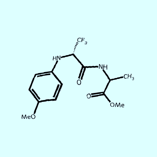 COC(=O)C(C)NC(=O)[C@H](Nc1ccc(OC)cc1)C(F)(F)F